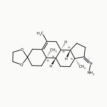 CC1=C2CC3(CC[C@]2(C)[C@H]2CC[C@]4(C)/C(=N\N)CC[C@H]4[C@@H]2C1)OCCO3